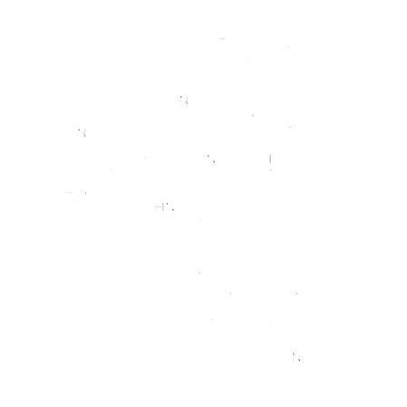 CN1CCC(C)(c2ccc(Nc3nc(-c4c(F)cccc4F)nc4c3C(O)NC4)cc2)C1=O